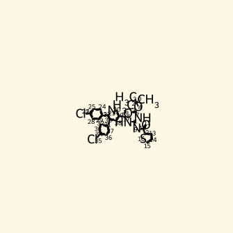 CC(C)(C)OC(=O)N/C(=N\C(=O)c1cccs1)NCc1cnc(-c2ccc(Cl)cc2)c(-c2ccc(Cl)cc2)c1